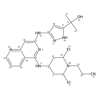 CCC1CC(Nc2nc(Nc3cc(C(C)(C)O)[nH]n3)cc3ncccc23)CC(CC)N1CCC#N